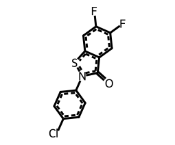 O=c1c2cc(F)c(F)cc2sn1-c1ccc(Cl)cc1